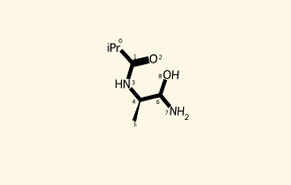 CC(C)C(=O)N[C@H](C)C(N)O